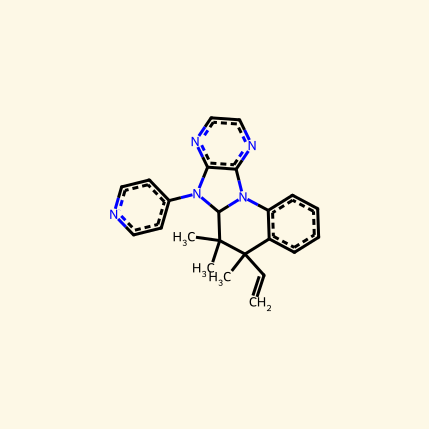 C=CC1(C)c2ccccc2N2c3nccnc3N(c3ccncc3)C2C1(C)C